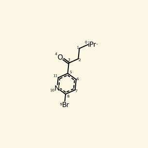 C[C](C)CCC(=O)c1ccc(Br)nc1